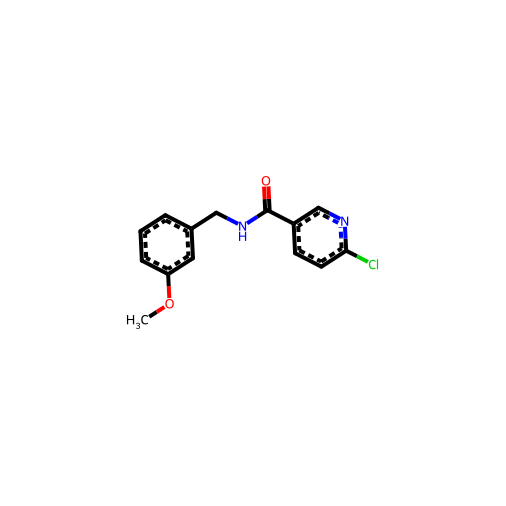 COc1cccc(CNC(=O)c2ccc(Cl)nc2)c1